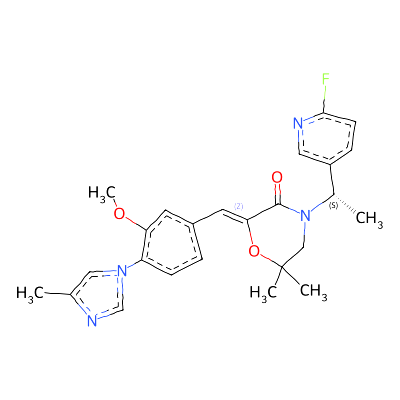 COc1cc(/C=C2\OC(C)(C)CN([C@@H](C)c3ccc(F)nc3)C2=O)ccc1-n1cnc(C)c1